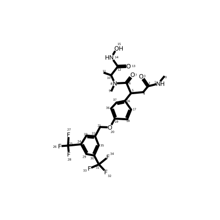 CNC(=O)CC(C(=O)N(C)C(C)C(=O)NO)c1ccc(OCc2cc(C(F)(F)F)cc(C(F)(F)F)c2)cc1